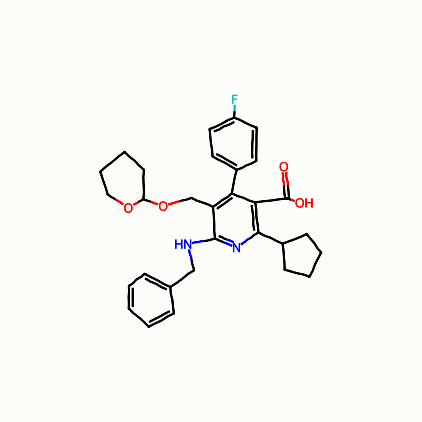 O=C(O)c1c(C2CCCC2)nc(NCc2ccccc2)c(COC2CCCCO2)c1-c1ccc(F)cc1